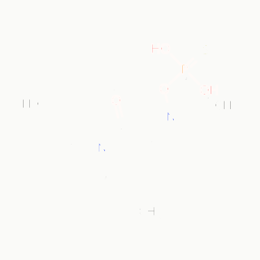 CCCN(CCC)C(=O)CN(CC)OP(O)(O)=S